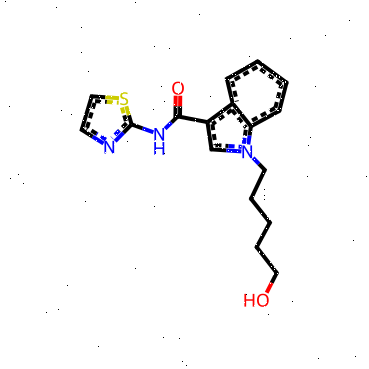 O=C(Nc1nccs1)c1cn(CCCCCO)c2ccccc12